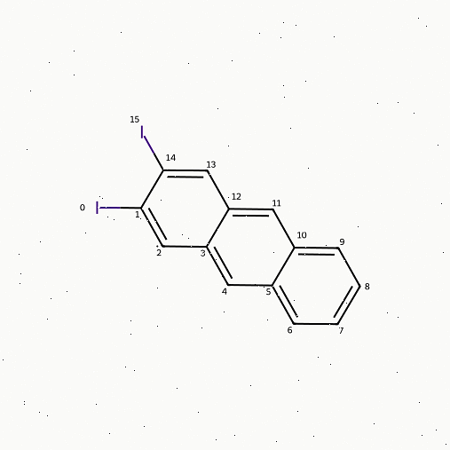 Ic1[c]c2cc3ccccc3cc2cc1I